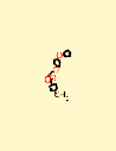 Cc1ccc(C2OCC(COc3ccc(Oc4ccccc4)cc3)O2)cc1